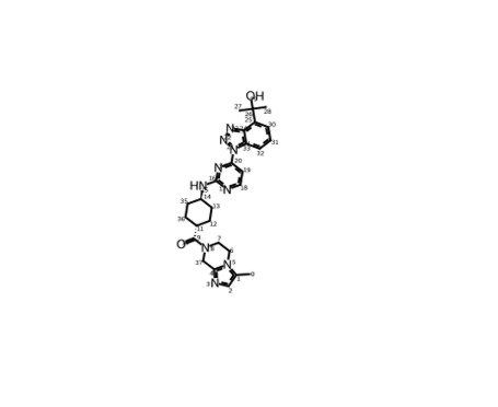 Cc1cnc2n1CCN(C(=O)[C@H]1CC[C@H](Nc3nccc(-n4nnc5c(C(C)(C)O)cccc54)n3)CC1)C2